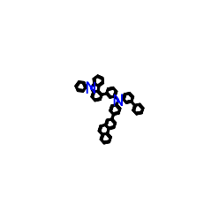 c1ccc(-c2cccc(N(c3ccc(-c4ccc5c(ccc6ccccc65)c4)cc3)c3cccc(-c4cccc5c4c4ccccc4n5-c4ccccc4)c3)c2)cc1